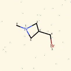 CN1CC(CBr)C1